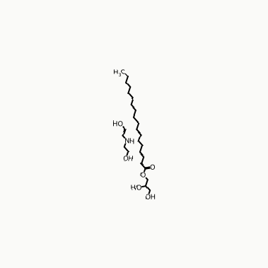 CCCCCCCCCCCCCCCCCC(=O)OCC(O)CO.OCCNCCO